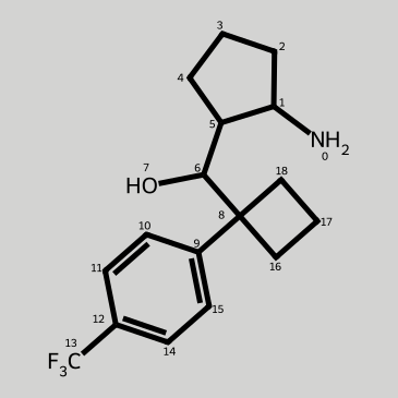 NC1CCCC1C(O)C1(c2ccc(C(F)(F)F)cc2)CCC1